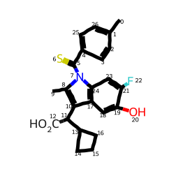 Cc1ccc(C(=S)n2c(C)c(C(C(=O)O)C3CCC3)c3cc(O)c(F)cc32)cc1